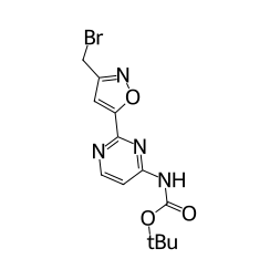 CC(C)(C)OC(=O)Nc1ccnc(-c2cc(CBr)no2)n1